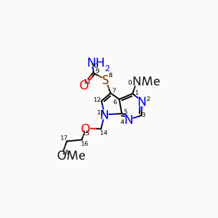 CNc1ncnc2c1c(SC(N)=O)cn2COCCOC